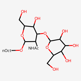 CCCCCCCCOC1OC(CO)C(O)C(OC2OC(CO)C(O)C(O)C2O)C1NC(C)=O